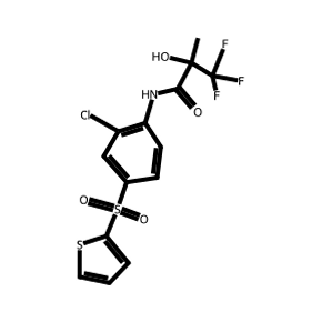 CC(O)(C(=O)Nc1ccc(S(=O)(=O)c2cccs2)cc1Cl)C(F)(F)F